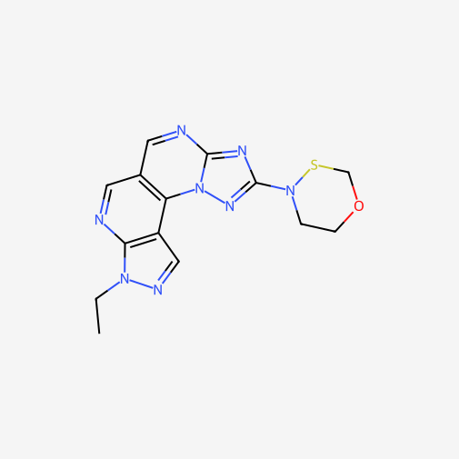 CCn1ncc2c1ncc1cnc3nc(N4CCOCS4)nn3c12